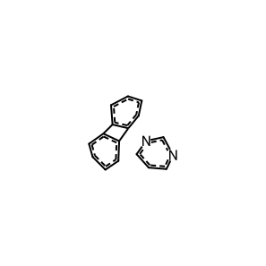 c1ccc2c(c1)-c1ccccc1-2.c1cncnc1